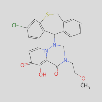 COCCN1CN(C2c3ccccc3CSc3cc(Cl)ccc32)n2ccc(=O)c(O)c2C1=O